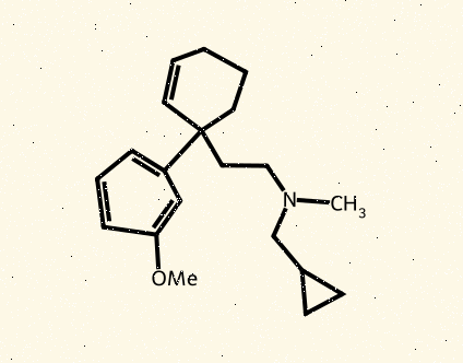 COc1cccc(C2(CCN(C)CC3CC3)C=CCCC2)c1